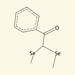 C[Se]C([Se]C)C(=O)c1ccccc1